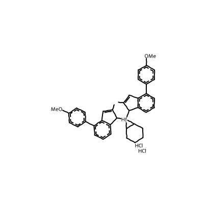 COc1ccc(-c2cccc3c2C=C(C)[CH]3[Hf]2([CH]3C(C)=Cc4c(-c5ccc(OC)cc5)cccc43)[CH]3CCCC[CH]32)cc1.Cl.Cl